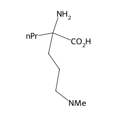 CCCC(N)(CCCNC)C(=O)O